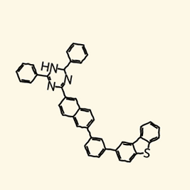 c1ccc(C2=NC(c3ccc4cc(-c5cccc(-c6ccc7sc8ccccc8c7c6)c5)ccc4c3)=NC(c3ccccc3)N2)cc1